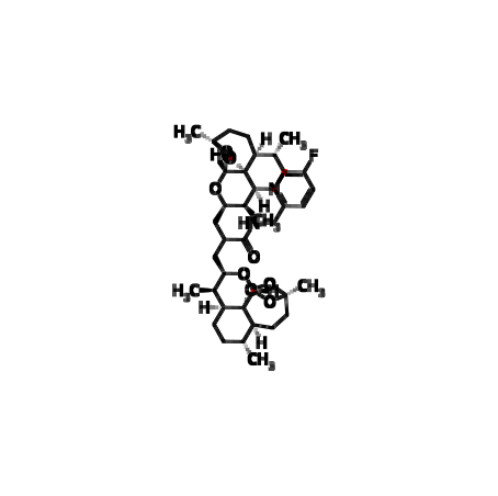 C[C@H]1[C@@H](CC(C[C@H]2O[C@@H]3O[C@]4(C)CC[C@H]5[C@H](C)CC[C@@H]([C@H]2C)[C@@]35OO4)C(=O)NCc2ccc(F)cn2)O[C@@H]2O[C@]3(C)CC[C@H]4[C@H](C)CC[C@@H]1[C@@]24OO3